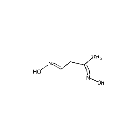 NC(CC=NO)=NO